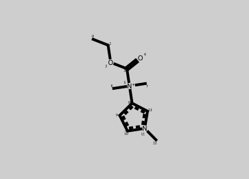 CCOC(=O)[N+](C)(C)c1c[c]n(C)c1